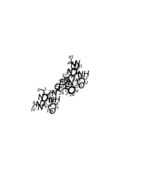 CCc1nc2c(cnn2CC)c(NC2CCOCC2)c1CNC(=O)CCc1ccccc1N(Cc1c(CC)nc2c(cnn2CC)c1NC1CCOCC1)C(=O)C(F)(F)F